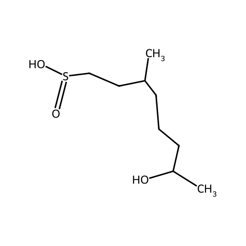 CC(O)CCCC(C)CCS(=O)O